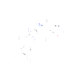 CC1=CNOC(C)=C1c1cnc2nc(C)n(Cc3ccc(Cl)c(Cl)c3)c2c1